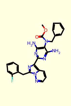 COC(=O)N(Cc1ccccc1)c1c(N)nc(-c2nc(Cc3ccccc3F)n3ncccc23)nc1N